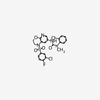 C[C@H](C(=O)Nc1cnc2c(c1)N(S(=O)(=O)c1ccc(F)c(Cl)c1)CCO2)c1ccccc1Cl